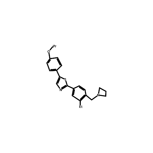 CCc1cc(-c2ncc(-c3ccc(OC(C)C)cc3)s2)ccc1CN1CCC1